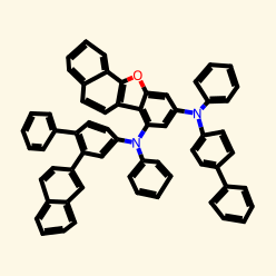 c1ccc(-c2ccc(N(c3ccccc3)c3cc(N(c4ccccc4)c4ccc(-c5ccccc5)c(-c5ccc6ccccc6c5)c4)c4c(c3)oc3c5ccccc5ccc34)cc2)cc1